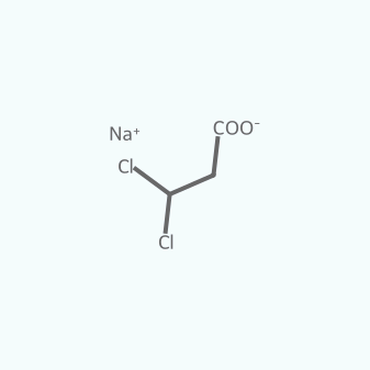 O=C([O-])CC(Cl)Cl.[Na+]